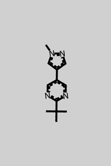 Cn1cc(-c2cnc(C(C)(C)C)nc2)cn1